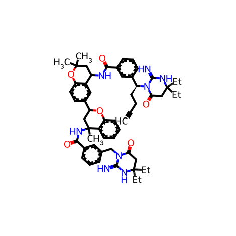 C#CCC[C@@H](c1cccc(C(=O)NC2CC(C)(C)Oc3ccc(C4CC(C)(NC(=O)c5cccc(CN6C(=N)NC(CC)(CC)CC6=O)c5)c5ccccc5O4)cc32)c1)N1C(=N)NC(CC)(CC)CC1=O